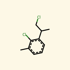 C[C](CCl)c1cccc(C)c1Cl